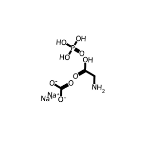 NCC(=O)O.O=C([O-])[O-].O=P(O)(O)O.[Na+].[Na+]